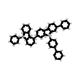 c1ccc(-c2ccc(-n3c4cc(-c5ccccc5)ccc4c4ccc(-c5cccc6c5c5ccccc5n6-c5ccccc5)cc43)cc2)cc1